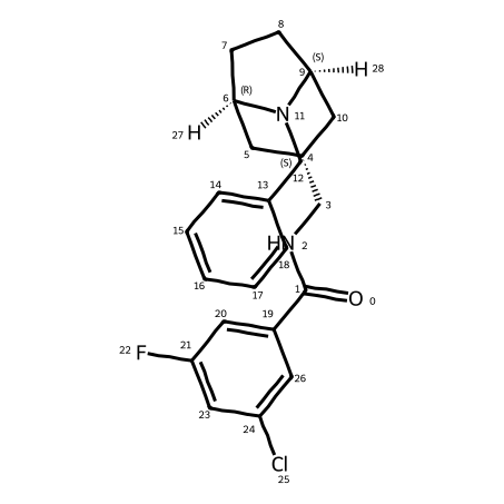 O=C(NC[C@@H]1C[C@H]2CC[C@@H](C1)N2Cc1ccccc1)c1cc(F)cc(Cl)c1